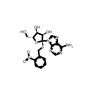 Nc1ncnc2c1ncn2[C@]1(SCc2ccccc2[N+](=O)[O-])O[C@H](CO)[C@@H](O)[C@H]1O